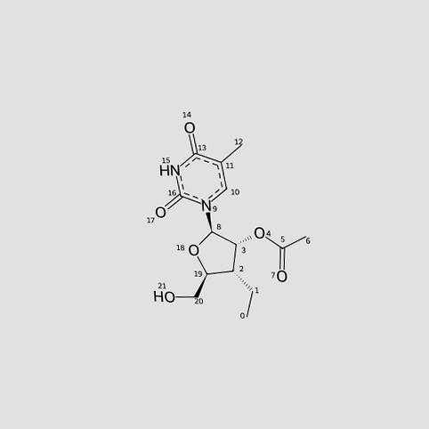 CC[C@H]1[C@@H](OC(C)=O)[C@H](n2cc(C)c(=O)[nH]c2=O)O[C@@H]1CO